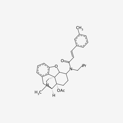 CC(=O)O[C@@]12CCC(N(CC(C)C)C(=O)/C=C/c3cccc(C)c3)C3Oc4cccc5c4[C@@]31CCN(C)[C@@H]2C5